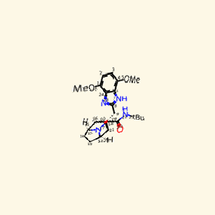 COc1ccc(OC)c2[nH]c(C[C@@H]3C[C@H]4CC[C@@H](C3)N4CC(=O)NC(C)(C)C)nc12